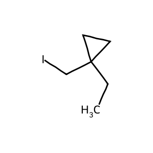 CCC1(CI)CC1